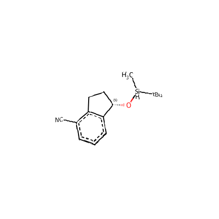 C[SiH](O[C@H]1CCc2c(C#N)cccc21)C(C)(C)C